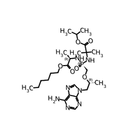 CCCCCCOC(=O)[C@@H](C)N[P@](=O)(CO[C@H](C)Cn1cnc2c(N)ncnc21)NC(C)(C)C(=O)OC(C)C